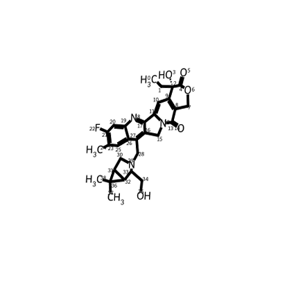 CC[C@@]1(O)C(=O)OCc2c1cc1n(c2=O)Cc2c-1nc1cc(F)c(C)cc1c2CN1CC2C(C1CO)C2(C)C